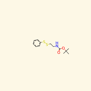 CC(C)(C)OC(=O)NCCSSc1ccccc1